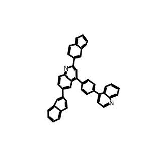 c1ccc2cc(-c3ccc4nc(-c5ccc6ccccc6c5)cc(-c5ccc(-c6ccnc7ccccc67)cc5)c4c3)ccc2c1